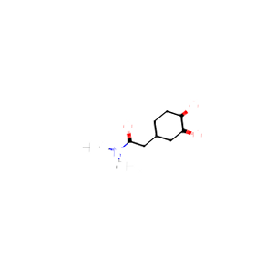 CN(C)C(=O)CC1CCC(=O)C(=O)C1